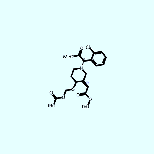 COC(=O)[C@H](c1ccccc1Cl)N1CCC(SCOC(=O)C(C)(C)C)/C(=C\C(=O)OC(C)(C)C)C1